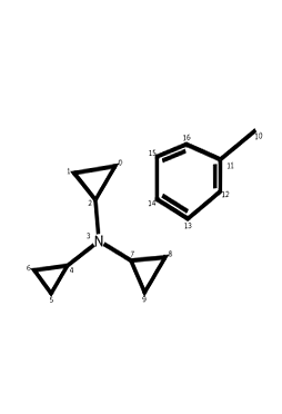 C1CC1N(C1CC1)C1CC1.Cc1ccccc1